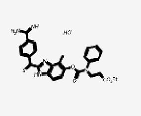 CCOC(=O)CCN(C(=O)Oc1ccc2[nH]c(C(=S)c3ccc(C(=N)N)cc3)nc2c1C)c1ccccc1.Cl